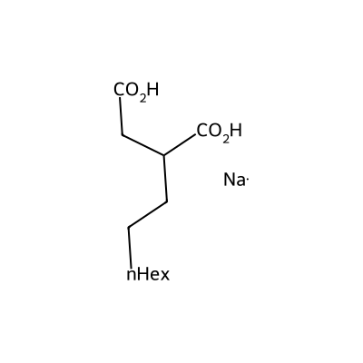 CCCCCCCCC(CC(=O)O)C(=O)O.[Na]